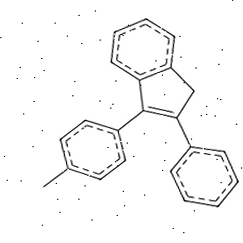 Cc1ccc(C2=C(c3ccccc3)Cc3ccccc32)cc1